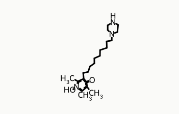 Cc1c(C)n(O)c(C)c(CCCCCCCCCCN2CCNCC2)c1=O